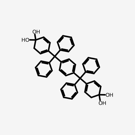 OC1(O)C=CC(C(c2ccccc2)(c2ccccc2)c2ccc(C(C3=CCC(O)(O)C=C3)(c3ccccc3)c3ccccc3)cc2)=CC1